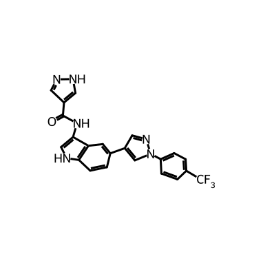 O=C(Nc1c[nH]c2ccc(-c3cnn(-c4ccc(C(F)(F)F)cc4)c3)cc12)c1cn[nH]c1